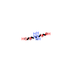 N=C(NCCOCCO)NCCOCCO